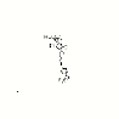 CC(C)(Oc1cc(Cl)c(OCCCC#Cc2ccc(OC(F)(F)F)cc2)cc1Cl)C(=O)O